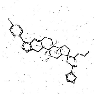 C[C@]12Cc3cnn(-c4ccc(F)nc4)c3C=C1CC[C@@H]1[C@@H]2[C@@H](O)C[C@@]2(C)[C@H]1CC[C@]2(OC(=O)c1cocn1)C(=O)SCF